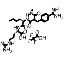 CCCC[C@@H](NC(=O)C(Cc1ccc(C(=N)N)cc1)C(=O)N(C)C)C(=O)N[C@@H](CCCNC(=N)N)C(=O)O.O=C(O)C(F)(F)F